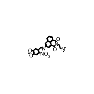 CN(C)CCN1C(=O)c2cccc3cc(N=Cc4cc5c(cc4[N+](=O)[O-])OCO5)cc(c23)C1=O